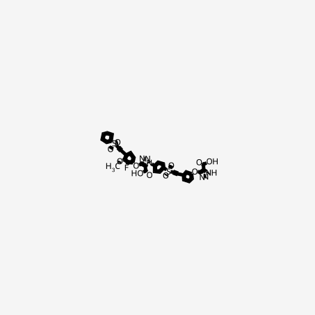 COc1c(C#CS(=O)(=O)c2ccccc2)ccc(Oc2nnn(-c3ccc(S(=O)(=O)C#Cc4cccc(Oc5nn[nH]c5C(=O)O)c4)cc3)c2C(=O)O)c1F